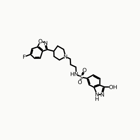 O=S(=O)(NCCCN1CCC(c2noc3cc(F)ccc23)CC1)c1ccc2c(O)n[nH]c2c1